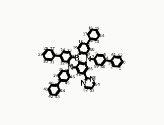 c1ccc(-c2ccc(N3c4cc(-c5ccccc5)ccc4B4c5ccc(-c6ccccc6)cc5N(c5ccc(-c6ccccc6)cc5)c5cc(-c6ncccn6)cc3c54)cc2)cc1